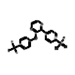 O=P(Cl)(Cl)c1ccc(-c2nccnc2Oc2ccc(C(F)(F)F)cc2)cc1